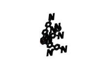 N#Cc1ccc(-c2ccc3c4ccccc4n(-c4cc(C#N)c(-c5cccnc5)cc4-n4c5ccccc5c5ccc(-c6ccc(C#N)cc6C#N)cc54)c3c2)c(C#N)c1